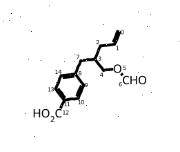 C=CCC(COC=O)Cc1ccc(C(=O)O)cc1